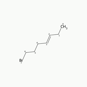 CCC=CCCCBr